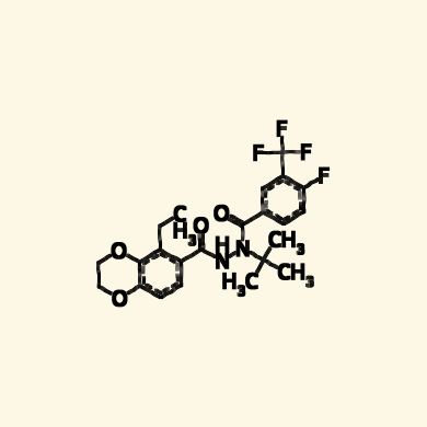 CCc1c(C(=O)NN(C(=O)c2ccc(F)c(C(F)(F)F)c2)C(C)(C)C)ccc2c1OCCO2